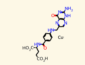 Nc1nc(=O)c2nc(CNc3ccc(C(=O)N[C@@H](CCC(=O)O)C(=O)O)cc3)cnc2[nH]1.[Cu]